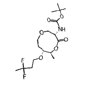 C[C@@H]1OC(=O)[C@@H](NC(=O)OC(C)(C)C)COCC[C@H]1OCCC(C)(F)F